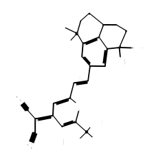 CC(C)(C)C1=CC(=C(C#N)C#N)C=C(/C=C/c2cc3c4c(c2)C(C)(C)CCC4CCC3(C)C)O1